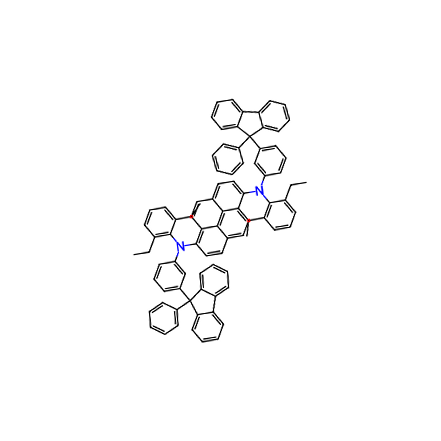 CCc1cccc(CC)c1N(c1cccc(C2(c3ccccc3)c3ccccc3-c3ccccc32)c1)c1ccc2ccc3c(N(c4cccc(C5(c6ccccc6)c6ccccc6-c6ccccc65)c4)c4c(CC)cccc4CC)ccc4ccc1c2c43